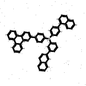 c1cc(-c2ccc3ccccc3c2)cc(N(c2ccc(-c3ccc4c5ccccc5c5ccccc5c4c3)cc2)c2ccc(-c3cccc4ccccc34)cc2)c1